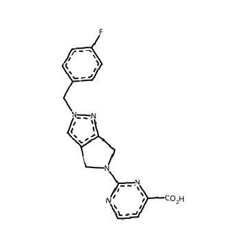 O=C(O)c1ccnc(N2Cc3cn(Cc4ccc(F)cc4)nc3C2)n1